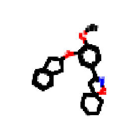 CCCOc1ccc(C2=NOC3(CCCCC3)C2)cc1OC1Cc2ccccc2C1